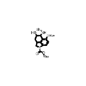 COc1ccc2c3c1C(NC(C)(C)C)C(O)CC3CN2C(=O)OC(C)(C)C